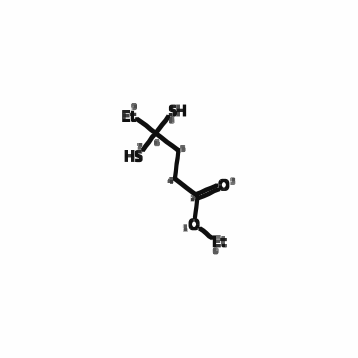 CCOC(=O)CCC(S)(S)CC